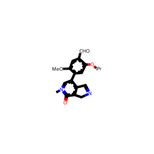 COc1cc(C=O)c(OC(C)C)cc1-c1cn(C)c(=O)c2c1C=NC2